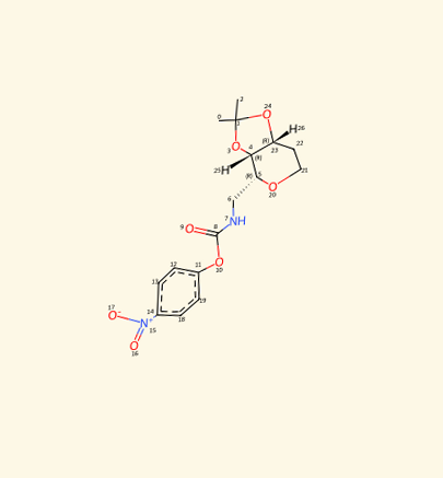 CC1(C)O[C@H]2[C@@H](CNC(=O)Oc3ccc([N+](=O)[O-])cc3)OCC[C@H]2O1